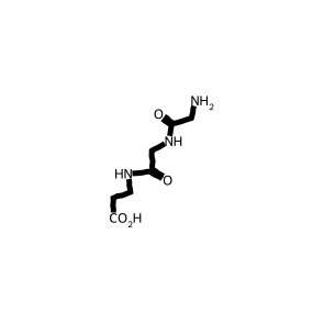 NCC(=O)NCC(=O)NCCC(=O)O